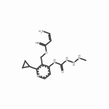 CNNNC(=O)Nc1ccnc(C2CC2)c1COC(=N)/C=C\N